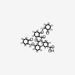 O=C(O)c1ccc(N(C(=O)c2ccccc2OCc2ccccc2Cl)C(=O)c2ccccc2OCc2ccccc2Cl)nc1